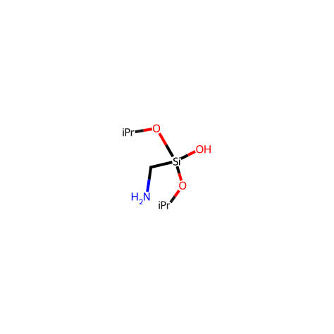 CC(C)O[Si](O)(CN)OC(C)C